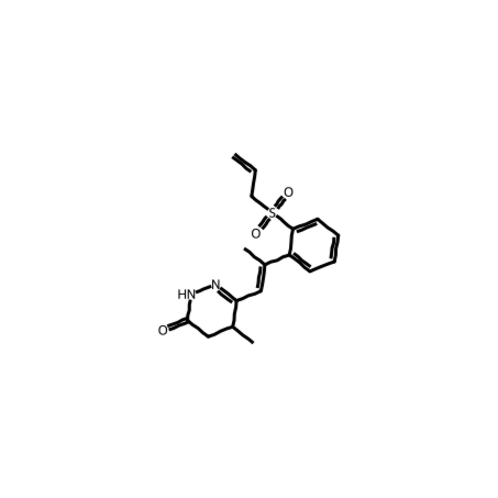 C=CCS(=O)(=O)c1ccccc1C(C)=CC1=NNC(=O)CC1C